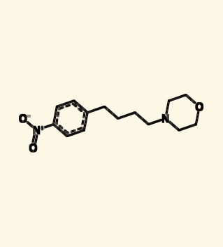 O=[N+]([O-])c1ccc(CCCCN2CCOCC2)cc1